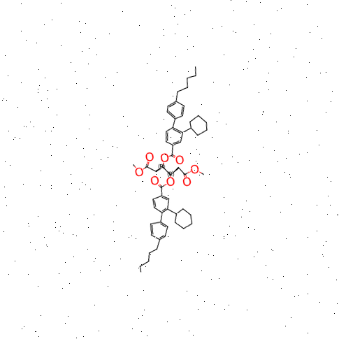 CCCCCc1ccc(-c2ccc(C(=O)O[C@H](CC(=O)OC)[C@@H](CC(=O)OC)OC(=O)c3ccc(-c4ccc(CCCCC)cc4)c(C4CCCCC4)c3)cc2C2CCCCC2)cc1